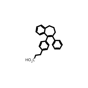 O=C(O)CCc1ccc(C2=C(c3ccccc3)CCCc3ccccc32)cc1